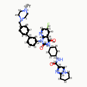 CC(C)N1CCN(Cc2ccc(-c3cccc(-n4c(=O)n([C@H]5CC[C@@H](NC(=O)c6cn7c(n6)CCCC7)CC5)c(=O)c5cc(F)cnc54)c3)cc2)CC1